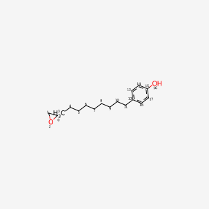 C1CO1.CCCCCCCCCc1ccc(O)cc1